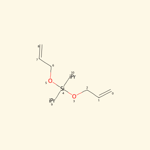 C=CCO[Si](OCC=C)(C(C)C)C(C)C